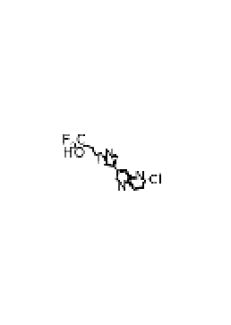 OC(CCn1cc(-c2cnc3ccc(Cl)nc3c2)cn1)C(F)(F)F